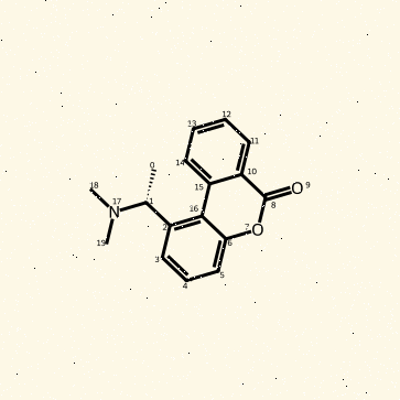 C[C@H](c1c[c]cc2oc(=O)c3ccccc3c12)N(C)C